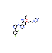 C=CC(=O)Nc1cc2c(Nc3ccnc(-c4ccc(F)cc4F)c3)ncnc2cc1OCCCN1CCN(C)CC1